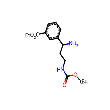 CCOC(=O)c1cccc(C(N)CCNC(=O)OC(C)(C)C)c1